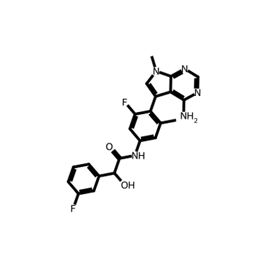 Cc1cc(NC(=O)C(O)c2cccc(F)c2)cc(F)c1-c1cn(C)c2ncnc(N)c12